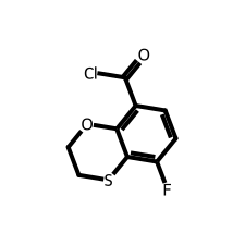 O=C(Cl)c1ccc(F)c2c1OCCS2